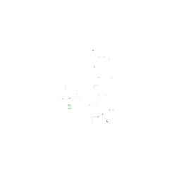 O=[PH]1OCC[C@@H](c2cc(C(F)(F)F)cc(C(F)(F)F)c2)O1